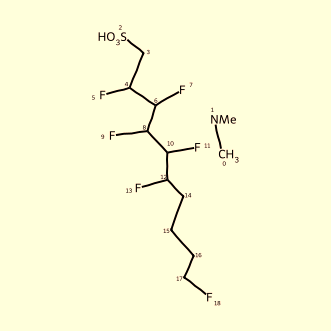 CNC.O=S(=O)(O)CC(F)C(F)C(F)C(F)C(F)CCCCF